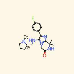 CCN1CCC[C@H]1CNc1c(-c2ccc(F)cc2)nc2n1CC(=O)NC2(C)C